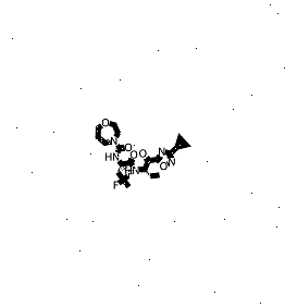 CC[C@H](NC(=O)[C@H](CC(C)(F)F)NC(=O)N1CCCOCC1)C(=O)c1nc(C2CC2)no1